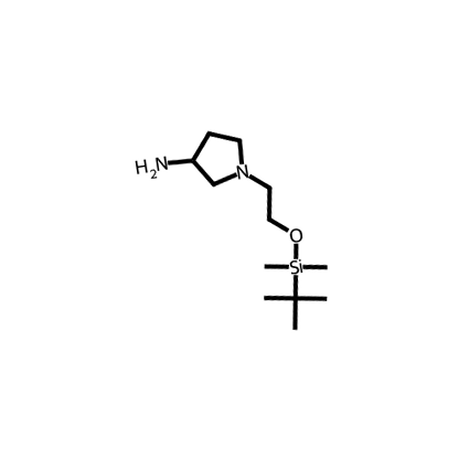 CC(C)(C)[Si](C)(C)OCCN1CCC(N)C1